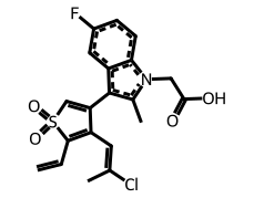 C=CC1=C(/C=C(\C)Cl)C(c2c(C)n(CC(=O)O)c3ccc(F)cc23)=CS1(=O)=O